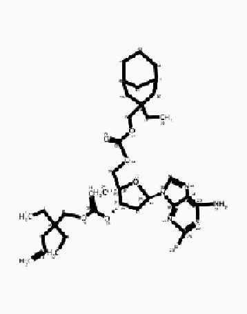 C=CCC(CC)(CC)COC(=O)O[C@H]1C[C@H](n2cnc3c(N)nc(F)nc32)O[C@]1(C)COC(=O)OCC1(CC)CC2CCCC(C2)C1